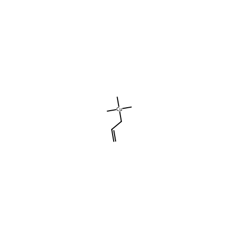 C=C[CH2][Cu]([CH3])([CH3])[CH3]